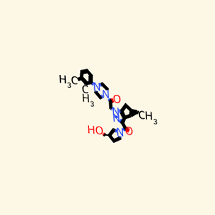 Cc1cccc(N2CCN(C(=O)Cn3nc(C(=O)N4CC[C@@H](CO)C4)c4c3CC3C(C)C43)CC2)c1C